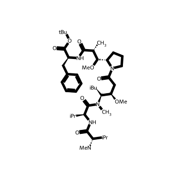 CC[C@H](C)[C@@H]([C@@H](CC(=O)N1CCC[C@H]1C(OC)[C@@H](C)C(=O)N[C@@H](Cc1ccccc1)C(=O)OC(C)(C)C)OC)N(C)C(=O)[C@@H](NC(=O)[C@@H](NC)C(C)C)C(C)C